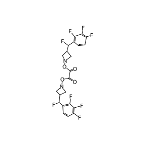 O=C(ON1CC(C(F)c2ccc(F)c(F)c2F)C1)C(=O)ON1CC(C(F)c2ccc(F)c(F)c2F)C1